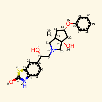 O=c1[nH]c2ccc([C@H](O)CN3C[C@H]4C[C@H](Oc5ccccc5)C[C@@]4(O)C3)cc2s1